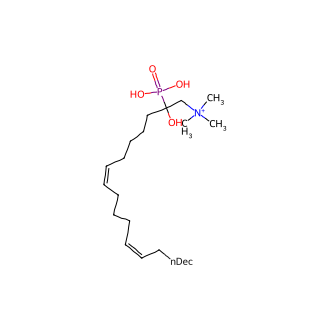 CCCCCCCCCCC/C=C\CCC/C=C\CCCCC(O)(C[N+](C)(C)C)P(=O)(O)O